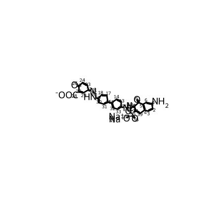 Nc1ccc2c(c1)C(=O)/C(=N/Nc1ccc(-c3ccc(N/N=C4/C=CC(=O)C(C(=O)[O-])=C4)cc3)cc1)C(S(=O)(=O)[O-])=C2.[Na+].[Na+]